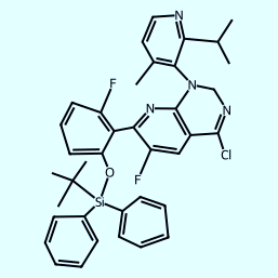 Cc1ccnc(C(C)C)c1N1CN=C(Cl)c2cc(F)c(-c3c(F)cccc3O[Si](c3ccccc3)(c3ccccc3)C(C)(C)C)nc21